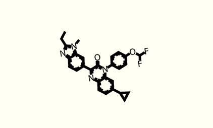 CCc1nc2ccc(-c3nc4ccc(C5CC5)cc4n(-c4ccc(OC(F)F)cc4)c3=O)cc2n1C